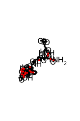 COc1c(C)cc2c(c1O)[C@H]1[C@@H]3[C@@H]4SC[C@]5(N[C@@H](CNC(=O)OCc6ccc(NC(=O)[C@H](CCCNC(N)=O)NC(=O)[C@@H](NC(=O)CCCCCN7C(=O)C=CC7=O)C(C)C)cc6)Cc6c5[nH]c5ccccc65)C(=O)OC[C@@H](c5c6c(c(C)c(OC(C)=O)c54)OCO6)N3C(C)(C2)CN1C